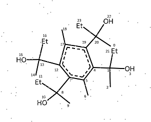 CCC(C)(O)c1c(C)c(C(C)(O)CC)c(C(C)(O)CC)c(C)c1C(C)(O)CC